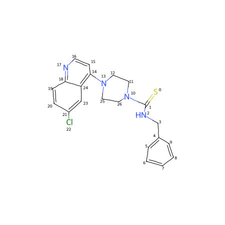 S=C(NCc1ccccc1)N1CCN(c2ccnc3ccc(Cl)cc23)CC1